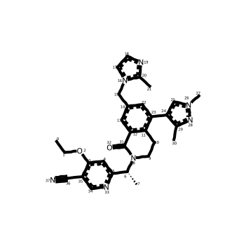 CCOc1cc([C@@H](C)N2CCc3c(cc(Cn4ccnc4C)cc3-c3cn(C)nc3C)C2=O)ncc1C#N